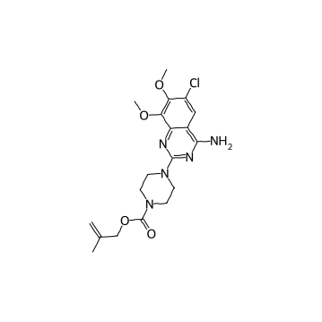 C=C(C)COC(=O)N1CCN(c2nc(N)c3cc(Cl)c(OC)c(OC)c3n2)CC1